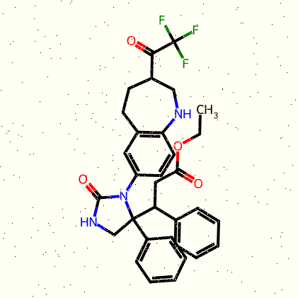 CCOC(=O)CC(c1ccccc1)C1(c2ccccc2)CNC(=O)N1c1ccc2c(c1)CCC(C(=O)C(F)(F)F)CN2